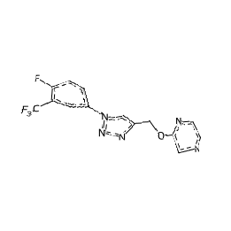 Fc1ccc(-n2cc(COc3cnccn3)nn2)cc1C(F)(F)F